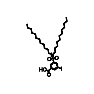 CCCCCCCCCCCCN(CCCCCCCCCCCC)S(=O)(=O)c1cc(I)cc(C(=O)O)c1